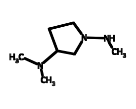 CNN1CCC(N(C)C)C1